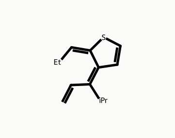 C=C/C(=c1/ccs/c1=C/CC)C(C)C